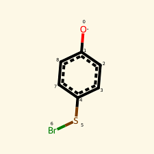 [O]c1ccc(SBr)cc1